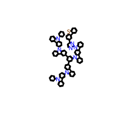 c1ccc(-n2c3ccccc3c3cc(-n4c5ccccc5c5cc(-c6cc(-c7ccc8c(c7)c7ccccc7n8-c7ccc8c(c7)c7ccccc7n8-c7ccccc7)cc(-n7c8ccccc8c8cc9c%10ccccc%10n(-c%10nccc(-c%11ccc%12sc%13ccccc%13c%12c%11)n%10)c9cc87)c6)ccc54)ccc32)cc1